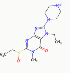 CCn1c(N2CCNCC2)nc2nc([S+]([O-])CC)n(C)c(=O)c21